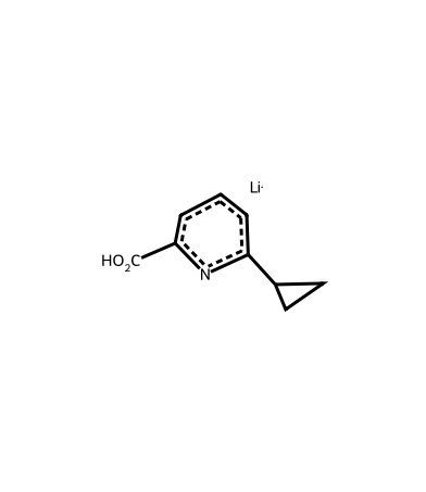 O=C(O)c1cccc(C2CC2)n1.[Li]